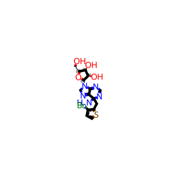 NC1(Cc2sccc2Br)N=CN=C2C1=NCN2[C@@H]1O[C@H](CO)[C@@H](O)[C@H]1O